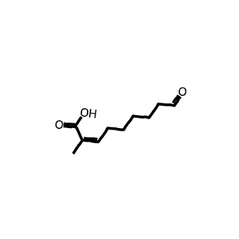 CC(=CCCCCCC=O)C(=O)O